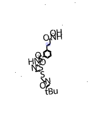 CC(C)(C)c1cnc(CSc2cnc(NS(=O)(=O)c3cccc(/C=C/C(=O)NO)c3)s2)o1